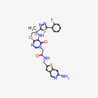 C[C@@]1(c2nnc(-c3ccccc3F)s2)COc2ncn(CC(=O)NCc3cc4cnc(N)cc4s3)c(=O)c2N1